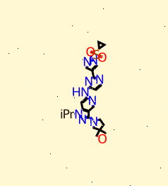 CC(C)n1nc(N2CCC3(COC3)C2)c2cnc(Nc3ccnc(-c4cnn(S(=O)(=O)C5CC5)c4)n3)cc21